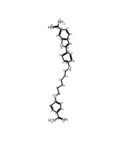 N=C(N)c1ccc(OCCCCCCOc2ccc(-c3cc4ccc(C(=N)N)cc4o3)cc2)cc1